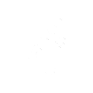 Cn1c(C(=O)Nc2ccc(C#N)cc2-c2nnn[nH]2)cc2cccc(OCc3ccccc3)c21